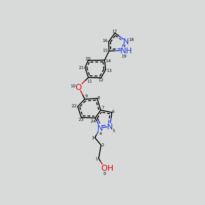 OCCCn1ncc2cc(Oc3ccc(-c4ccn[nH]4)cc3)ccc21